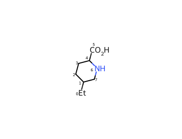 CCC1CCC(C(=O)O)NC1